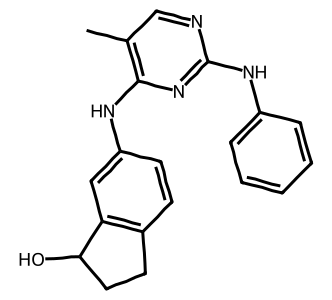 Cc1cnc(Nc2ccccc2)nc1Nc1ccc2c(c1)C(O)CC2